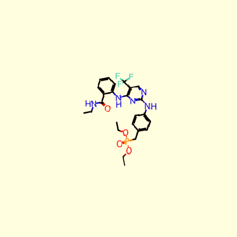 CCNC(=O)c1ccccc1Nc1nc(Nc2ccc(CP(=O)(OCC)OCC)cc2)ncc1C(F)(F)F